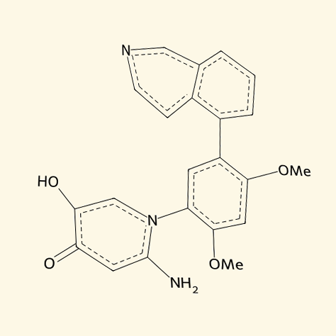 COc1cc(OC)c(-n2cc(O)c(=O)cc2N)cc1-c1cccc2cnccc12